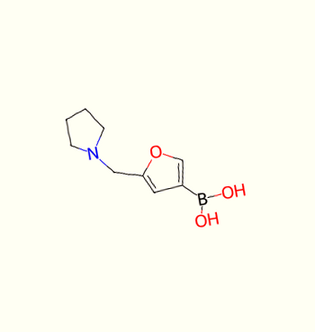 OB(O)c1coc(CN2CCCC2)c1